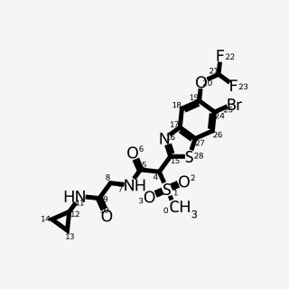 CS(=O)(=O)C(C(=O)NCC(=O)NC1CC1)c1nc2cc(OC(F)F)c(Br)cc2s1